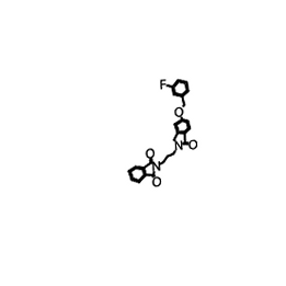 O=C1c2ccc(OCc3cccc(F)c3)cc2CN1CCCN1C(=O)c2ccccc2C1=O